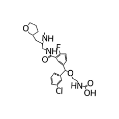 CNC(CNC(=O)c1cc(C(OCCNC(=O)O)c2cccc(Cl)c2)ccc1F)CC1CCCOC1